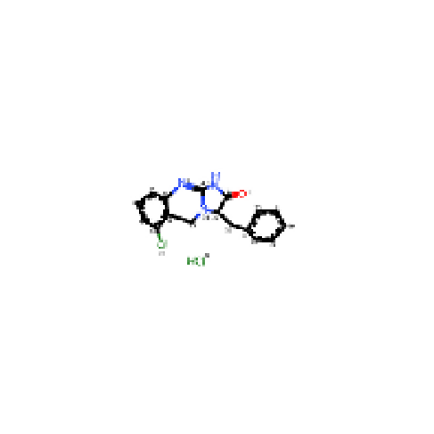 Cl.O=C1NC2=Nc3cccc(Cl)c3CN2C1Cc1ccccc1